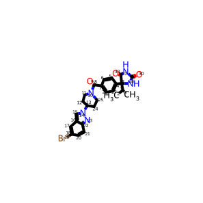 CC(C)C1(c2ccc(C(=O)N3CCC(n4cc5cc(Br)ccc5n4)CC3)cc2)NC(=O)NC1=O